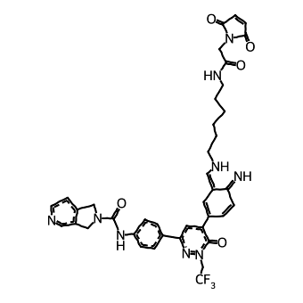 N=C1C=CC(c2cc(-c3ccc(NC(=O)N4Cc5ccncc5C4)cc3)nn(CC(F)(F)F)c2=O)=C/C1=C/NCCCCCCNC(=O)CN1C(=O)C=CC1=O